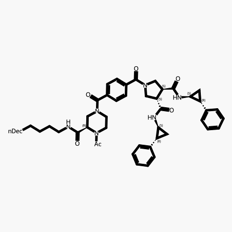 CCCCCCCCCCCCCCNC(=O)[C@H]1CN(C(=O)c2ccc(C(=O)N3C[C@@H](C(=O)N[C@H]4C[C@@H]4c4ccccc4)[C@H](C(=O)N[C@H]4C[C@@H]4c4ccccc4)C3)cc2)CCN1C(C)=O